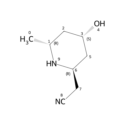 C[C@@H]1C[C@H](O)C[C@@H](CC#N)N1